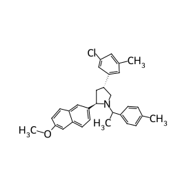 COc1ccc2cc([C@H]3C[C@H](c4cc(C)cc(Cl)c4)CN3C(C)c3ccc(C)cc3)ccc2c1